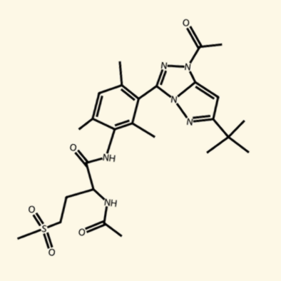 CC(=O)NC(CCS(C)(=O)=O)C(=O)Nc1c(C)cc(C)c(-c2nn(C(C)=O)c3cc(C(C)(C)C)nn23)c1C